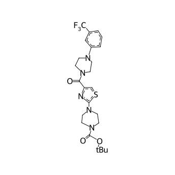 CC(C)(C)OC(=O)N1CCN(c2nc(C(=O)N3CCN(c4cccc(C(F)(F)F)c4)CC3)cs2)CC1